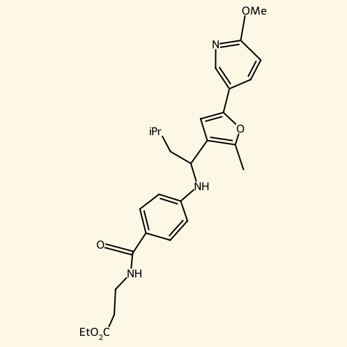 CCOC(=O)CCNC(=O)c1ccc(NC(CC(C)C)c2cc(-c3ccc(OC)nc3)oc2C)cc1